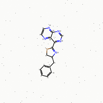 c1ccc(CC2CSC(c3ncnc4nccnc34)=N2)cc1